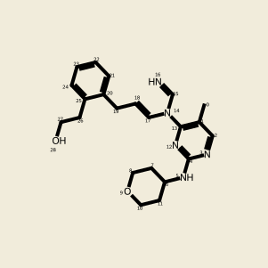 Cc1cnc(NC2CCOCC2)nc1N(C=N)/C=C/Cc1ccccc1CCO